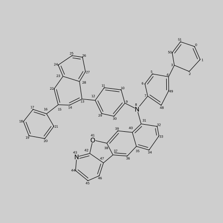 C1=CCC(c2ccc(N(c3ccc(-c4cc(-c5ccccc5)cc5ccccc45)cc3)c3cccc4cc5c(cc34)oc3ncccc35)cc2)C=C1